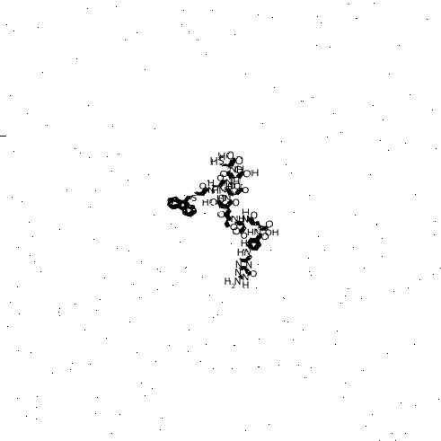 CC[C@H](NC(=O)[C@H](CC(=O)O)NC(=O)CC[C@H](NC(=O)c1ccc(NCc2cnc3nc(N)[nH]c(=O)c3n2)cc1)C(=O)O)C(=O)C[C@@H](CC(=O)O)C(=O)N[C@@H](CC(=O)O)C(=O)N[C@@H](CNC(=O)CCSCC1c2ccccc2-c2ccccc21)C(=O)N[C@@H](CC(=O)O)C(=O)N[C@@H](CS)C(=O)O